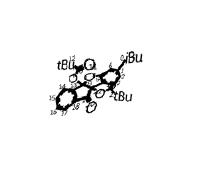 CCC(C)c1ccc2c(c1)OC1(OC(=O)C(C)(C)C)c3ccccc3C(=O)C21OC(=O)C(C)(C)C